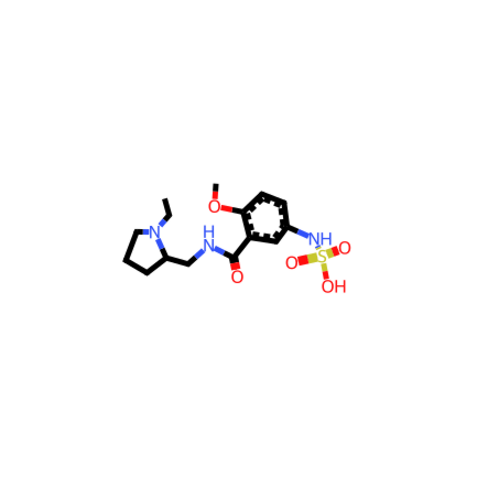 CCN1CCCC1CNC(=O)c1cc(NS(=O)(=O)O)ccc1OC